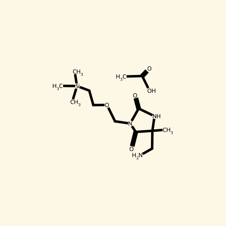 CC(=O)O.CC1(CN)NC(=O)N(COCC[Si](C)(C)C)C1=O